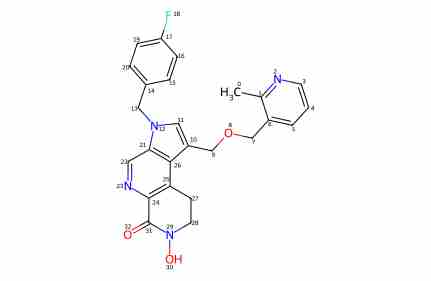 Cc1ncccc1COCc1cn(Cc2ccc(F)cc2)c2cnc3c(c12)CCN(O)C3=O